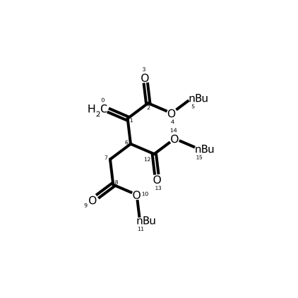 C=C(C(=O)OCCCC)C(CC(=O)OCCCC)C(=O)OCCCC